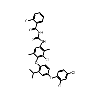 Cc1cc(NC(=S)NC(=O)c2ccccc2Cl)c(C)c(Cl)c1Oc1ccc(Oc2ccc(Cl)cc2Cl)cc1C(C)C